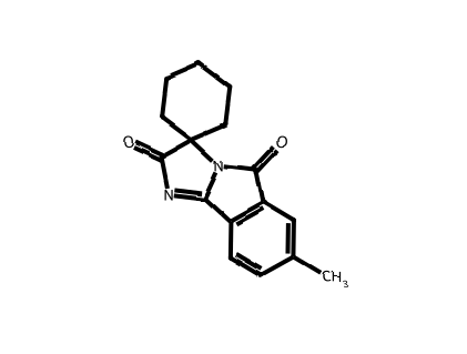 Cc1ccc2c(c1)C(=O)N1C2=NC(=O)C12CCCCC2